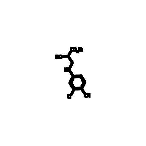 CCOC(=O)C(O)CNc1ccc(C#N)c(Cl)c1